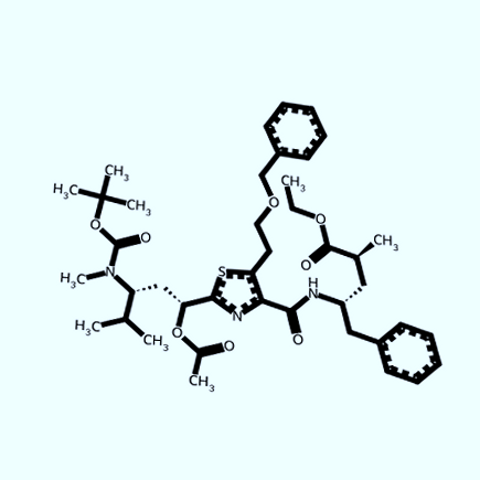 CCOC(=O)[C@@H](C)C[C@H](Cc1ccccc1)NC(=O)c1nc([C@@H](C[C@H](C(C)C)N(C)C(=O)OC(C)(C)C)OC(C)=O)sc1CCOCc1ccccc1